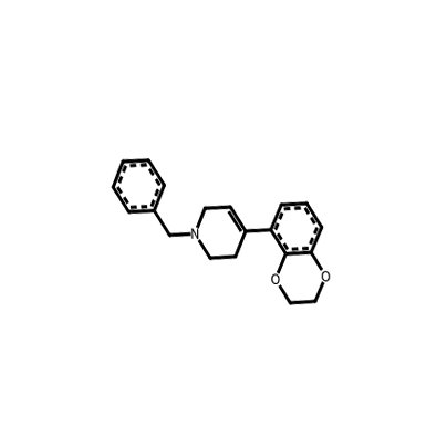 C1=C(c2cccc3c2OCCO3)CCN(Cc2ccccc2)C1